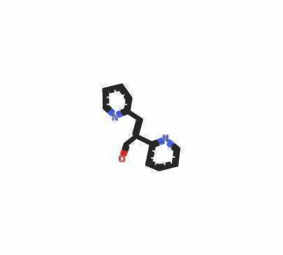 O=CC(=Cc1ccccn1)c1ccccn1